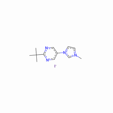 Cn1cc[n+](-c2cnc(C(C)(C)C)nc2)c1.[I-]